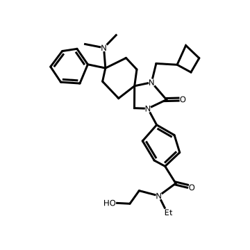 CCN(CCO)C(=O)c1ccc(N2CC3(CCC(c4ccccc4)(N(C)C)CC3)N(CC3CCC3)C2=O)cc1